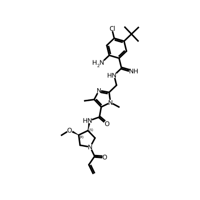 C=CC(=O)N1C[C@H](NC(=O)c2c(C)nc(CNC(=N)c3cc(C(C)(C)C)c(Cl)cc3N)n2C)[C@H](OC)C1